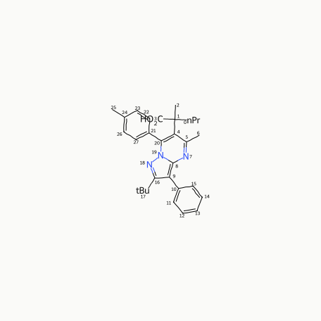 CCCC(C)(C(=O)O)c1c(C)nc2c(-c3ccccc3)c(C(C)(C)C)nn2c1-c1ccc(C)cc1